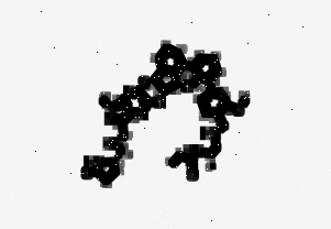 CCC(=O)N[C@@H](C)CNCc1ccc(-c2cccc(-c3cccc4c3CC[C@@H]4Oc3nc4c(nc3Cl)c(CNC[C@@H]3CCC(=O)N3)nn4C)c2Cl)nc1OC